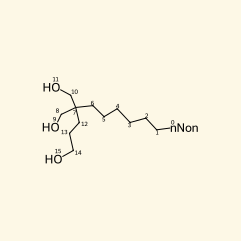 CCCCCCCCCCCCCCCC(CO)(CO)CCCO